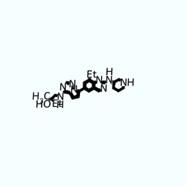 CCc1cc(-c2ccc3c(NC[C@@](C)(O)CC)ncnn23)cc2cnc(N[C@H]3CCCNC3)nc12